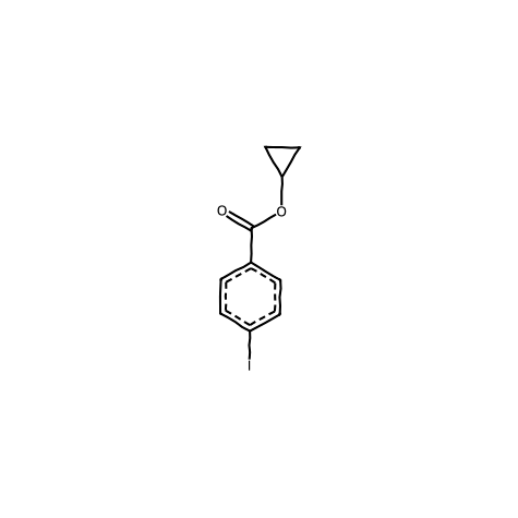 O=C(OC1CC1)c1ccc(I)cc1